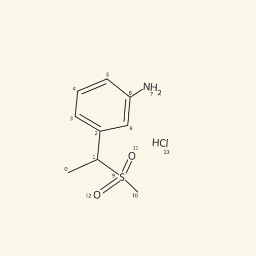 CC(c1cccc(N)c1)S(C)(=O)=O.Cl